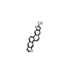 N#Cc1cc2cc3ccc4c5cc6occc6cc5ccc4c3cc2o1